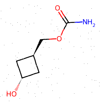 NC(=O)OC[C@H]1C[C@H](O)C1